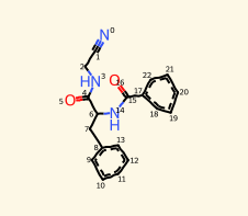 N#CCNC(=O)C(Cc1ccccc1)NC(=O)c1ccccc1